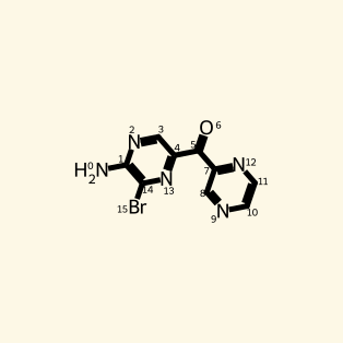 Nc1ncc(C(=O)c2cnccn2)nc1Br